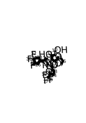 OC[C@H]1O[C@@]2(CCCO2)[C@H](OCc2ccc(C(F)(F)F)o2)[C@@H](n2cc(-c3cc(F)c(F)c(F)c3)nn2)[C@H]1O